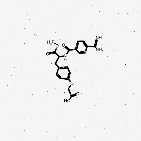 COC(=O)C(Cc1ccc(OCC(=O)O)cc1)NC(=O)c1ccc(C(=N)N)cc1